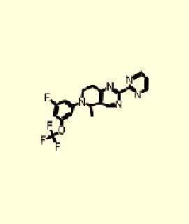 CC1c2cnc(-c3ncccn3)nc2CCN1c1cc(F)cc(OC(F)(F)F)c1